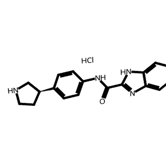 Cl.O=C(Nc1ccc([C@H]2CCNC2)cc1)c1nc2ccccc2[nH]1